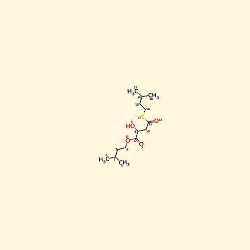 CC(C)CCOC(=O)C(O)CC(=O)SCCC(C)C